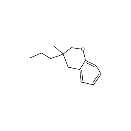 CCCC1(C)[CH]c2ccccc2OC1